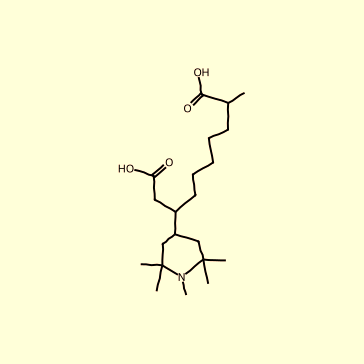 CC(CCCCCC(CC(=O)O)C1CC(C)(C)N(C)C(C)(C)C1)C(=O)O